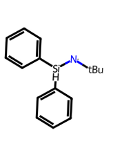 CC(C)(C)[N][SiH](c1ccccc1)c1ccccc1